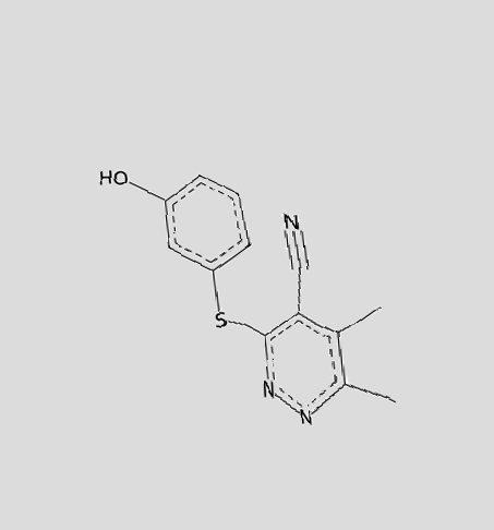 Cc1nnc(Sc2cccc(O)c2)c(C#N)c1C